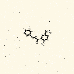 Nc1ccc(Cl)c(C(=O)OCc2ccccc2)c1